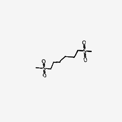 CS(=O)(=O)CCCCCCS(C)(=O)=O